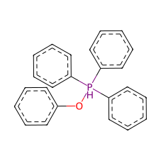 c1ccc(O[PH](c2ccccc2)(c2ccccc2)c2ccccc2)cc1